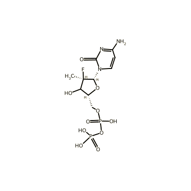 C[C@@]1(F)C(O)[C@@H](COP(=O)(O)OP(=O)(O)O)O[C@H]1n1ccc(N)nc1=O